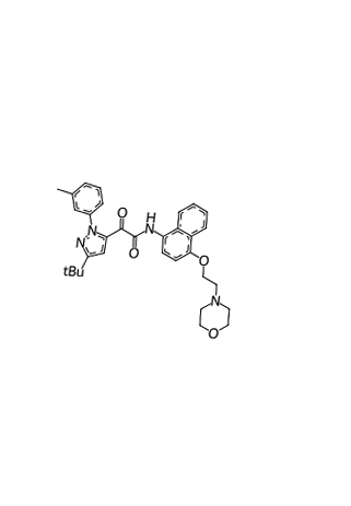 Cc1cccc(-n2nc(C(C)(C)C)cc2C(=O)C(=O)Nc2ccc(OCCN3CCOCC3)c3ccccc23)c1